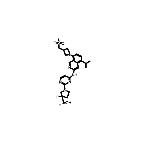 CC(C)c1ccc(N2CC(CS(C)(=O)=O)C2)c2cnc(Nc3ccnc(N4CC[C@](F)([C@@H](C)O)C4)n3)cc12